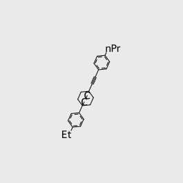 CCCc1ccc(C#CC23CCC(c4ccc(CC)cc4)(CC2)CC3)cc1